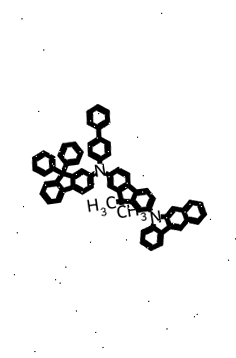 CC1(C)c2cc(N(c3ccc(-c4ccccc4)cc3)c3ccc4c(c3)C(c3ccccc3)(c3ccccc3)c3ccccc3-4)ccc2-c2ccc(-n3c4ccccc4c4cc5ccccc5cc43)cc21